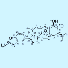 CC1C=C2C=C3[C@@H](O)[C@H](O)[C@@H](N(C)C)C[C@]34CC[C@]2(O4)C2CC=C(c3ccc4oc(N)nc4c3)[C@@]12C